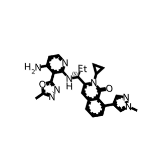 CC[C@H](Nc1nccc(N)c1-c1nnc(C)o1)c1cc2cccc(-c3cnn(C)c3)c2c(=O)n1C1CC1